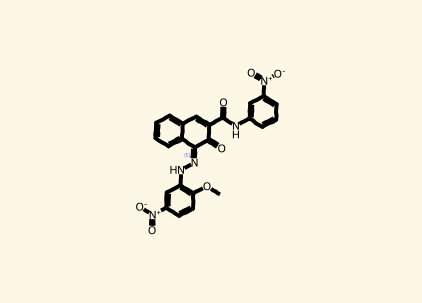 COc1ccc([N+](=O)[O-])cc1N/N=C1/C(=O)C(C(=O)Nc2cccc([N+](=O)[O-])c2)=Cc2ccccc21